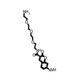 CNc1ccc2cc(C(=O)NCCOCCOCCOCCN)c(=O)oc2c1